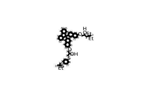 CCC(C)(CC)CC(O)COc1ccc2cc(C3(c4ccc5cc(OCC(O)CSc6ccc(SC(C)(C)CC)cc6)ccc5c4)c4ccccc4-c4ccccc43)ccc2c1